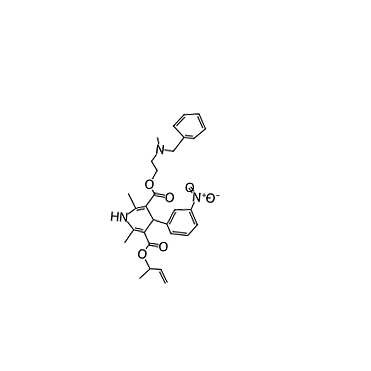 C=CC(C)OC(=O)C1=C(C)NC(C)=C(C(=O)OCCN(C)Cc2ccccc2)C1c1cccc([N+](=O)[O-])c1